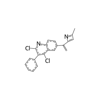 C=C(C1=CC(C)=N1)c1ccc2nc(Cl)c(-c3ccccc3)c(Cl)c2c1